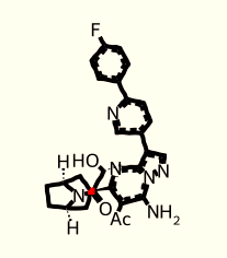 CC(=O)c1c([C@H]2C[C@H]3CC[C@@H](C2)N3C(=O)[C@@H](C)O)nc2c(-c3ccc(-c4ccc(F)cc4)nc3)cnn2c1N